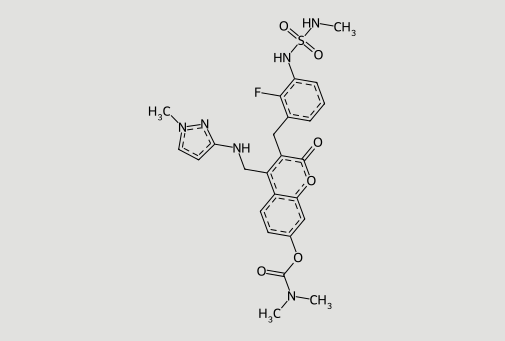 CNS(=O)(=O)Nc1cccc(Cc2c(CNc3ccn(C)n3)c3ccc(OC(=O)N(C)C)cc3oc2=O)c1F